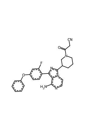 N#CCC(=O)N1CCCC(c2nc(-c3ccc(Oc4ccccc4)cc3F)c3c(N)nccn23)C1